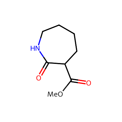 COC(=O)C1CCCCNC1=O